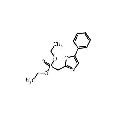 CCOP(=O)(Cc1ncc(-c2ccccc2)o1)OCC